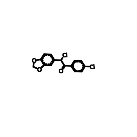 O=C(c1ccc(Cl)cc1)C(Cl)c1ccc2c(c1)OCO2